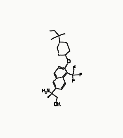 CCC(C)(C)C1CCC(Oc2ccc3cc([C@@](C)(N)CO)ccc3c2C(F)(F)F)CC1